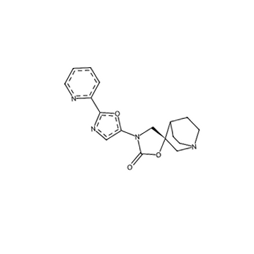 O=C1O[C@]2(CN3CCC2CC3)CN1c1cnc(-c2ccccn2)o1